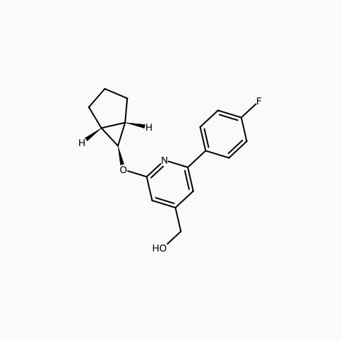 OCc1cc(O[C@H]2[C@@H]3CCC[C@@H]32)nc(-c2ccc(F)cc2)c1